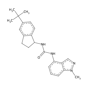 Cn1ncc2c(NC(=O)NC3CCc4cc(C(C)(C)C)ccc43)cccc21